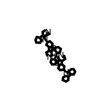 c1ccc([Si](c2ccccc2)(c2nccc3c2oc2ccc(-n4c5ccccc5c5ccncc54)cc23)c2nccc3c2sc2ccc(-n4c5ccccc5c5ccccc54)cc23)cc1